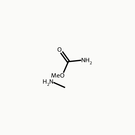 CN.COC(N)=O